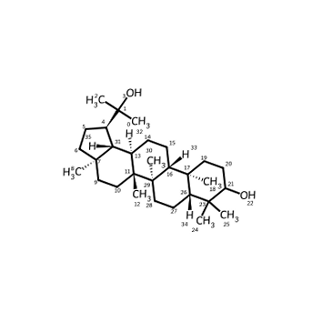 CC(C)(O)[C@@H]1CC[C@]2(C)CC[C@]3(C)[C@H](CC[C@@H]4[C@@]5(C)CCC(O)C(C)(C)[C@@H]5CC[C@]43C)[C@@H]12